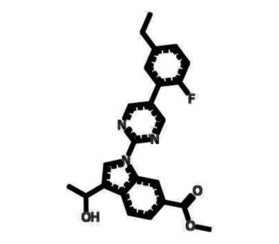 CCc1ccc(F)c(-c2cnc(-n3cc(C(C)O)c4ccc(C(=O)OC)cc43)nc2)c1